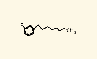 CCCCCCCCc1cccc(F)c1